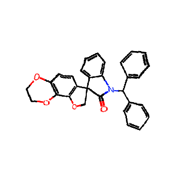 O=C1N(C(c2ccccc2)c2ccccc2)c2ccccc2C12COc1c2ccc2c1OCCO2